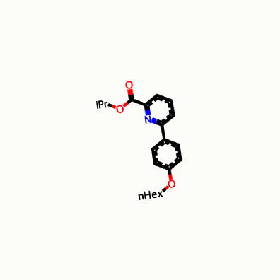 CCCCCCOc1ccc(-c2cccc(C(=O)OC(C)C)n2)cc1